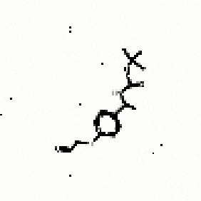 CC(NC(=O)OC(C)(C)C)c1ccc(OCC=O)cc1